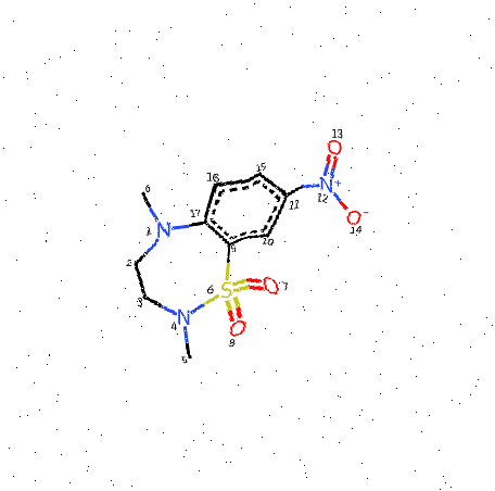 CN1CCN(C)S(=O)(=O)c2cc([N+](=O)[O-])ccc21